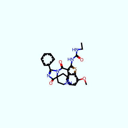 CCNC(=O)Nc1sc2c(OC)cccc2c1C(=O)N1C(c2ccccc2)=NC(=O)C12CCNCC2